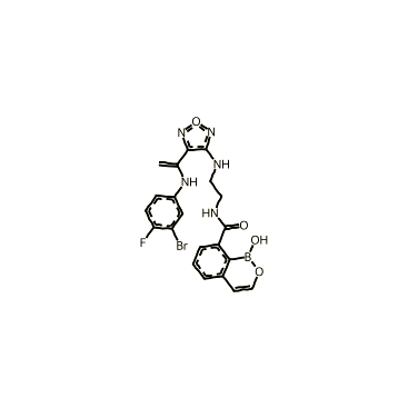 C=C(Nc1ccc(F)c(Br)c1)c1nonc1NCCNC(=O)c1cccc2c1B(O)OC=C2